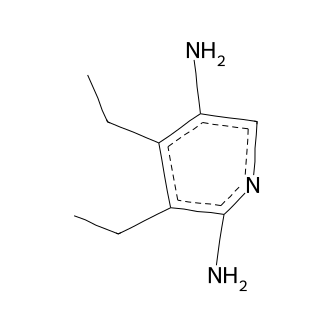 CCc1c(N)cnc(N)c1CC